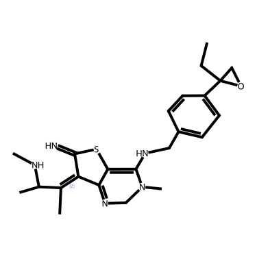 CCC1(c2ccc(CNC3=C4SC(=N)/C(=C(/C)C(C)NC)C4=NCN3C)cc2)CO1